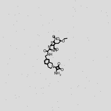 CCOC(=O)Cc1c(N=O)sc2nc(C(=O)NCc3ccc4c(c3)CN(c3c(N)c(=O)c3=O)CC4)[nH]c(=O)c12